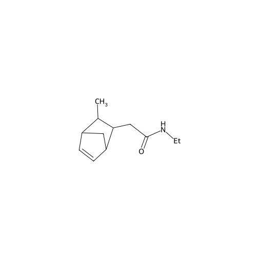 CCNC(=O)CC1C2C=CC(C2)C1C